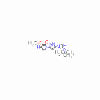 Cc1nc2ccn(-c3ccc(N4CCC(NC(C)(C)C)C4)nn3)c(=O)c2o1